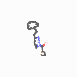 O=C(c1cccs1)n1ccc(C=Cc2ccccc2)n1